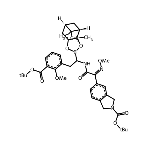 CO/N=C(\C(=O)NC(Cc1cccc(C(=O)OC(C)(C)C)c1OC)B1OC2C[C@H]3C[C@@H](C3(C)C)[C@]2(C)O1)c1ccc2c(c1)CN(C(=O)OC(C)(C)C)C2